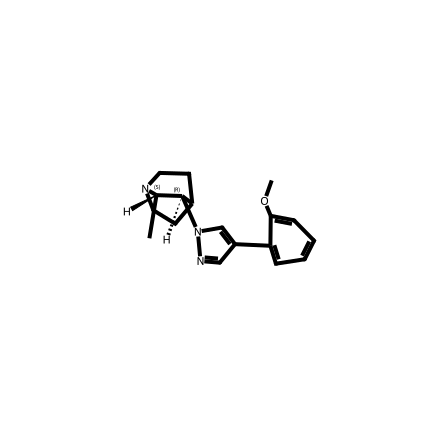 COc1ccccc1-c1cnn([C@@H]2C3CCN(CC3)[C@H]2C)c1